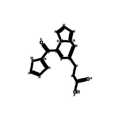 O=C(O)CCc1cc(C(=O)c2cccs2)n2cccc2c1